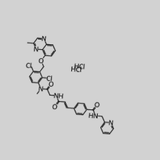 Cc1cnc2cccc(OCc3c(Cl)ccc(N(C)C(=O)CNC(=O)C=Cc4ccc(C(=O)NCc5ccccn5)cc4)c3Cl)c2n1.Cl.Cl